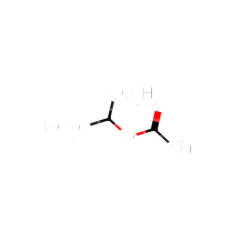 CCCC(=O)OC(C(=O)O)C(=O)O